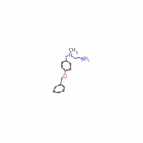 CN(CCN)Cc1ccc(OCc2ccccc2)cc1